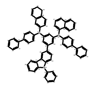 C1=Cc2cc(N(c3ccc(-c4ccccc4)cc3)c3cc(-c4ccc5c(c4)c4ccccc4n5-c4ccccc4)cc(N(c4ccc(-c5ccccc5)cc4)c4cccc5ccccc45)c3)ccc2CC1